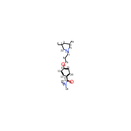 CC1C[C@@H](C)CN(CCCOc2ccc(C(=O)N(C)C)cc2)C1